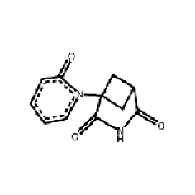 O=C1NC(=O)C2(n3ccccc3=O)CC1C2